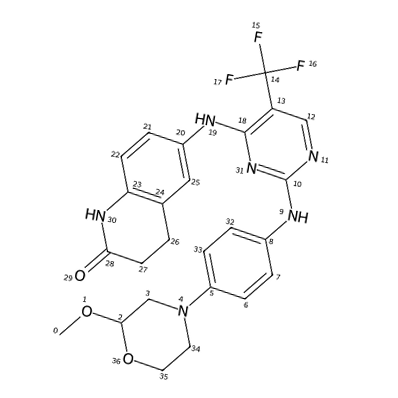 COC1CN(c2ccc(Nc3ncc(C(F)(F)F)c(Nc4ccc5c(c4)CCC(=O)N5)n3)cc2)CCO1